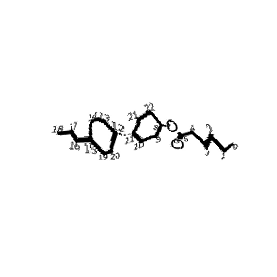 CCCCCC(=O)O[C@H]1CC[C@H](C2CCC(CCC)CC2)CC1